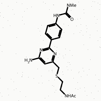 CNC(=O)Nc1ccc(-c2nc(N)cc(CSCCNC(C)=O)n2)cc1